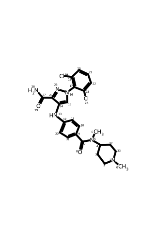 CN1CCC(N(C)C(=O)c2ccc(Nc3cn(-c4c(Cl)cccc4Cl)nc3C(N)=O)cc2)CC1